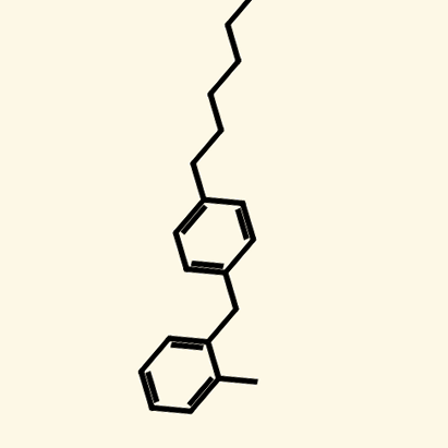 CCCCCCc1ccc(Cc2ccccc2C)cc1